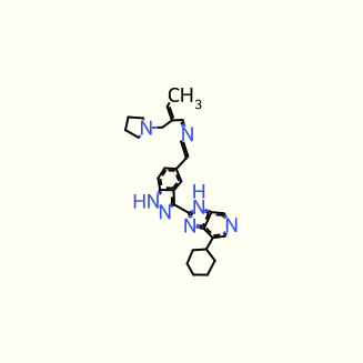 C\C=C(/C=N\C=C\c1ccc2[nH]nc(-c3nc4c(C5CCCCC5)cncc4[nH]3)c2c1)CN1CCCC1